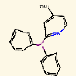 CC(C)(C)c1ccnc(P(c2ccccc2)c2ccccc2)c1